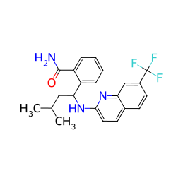 CC(C)CC(Nc1ccc2ccc(C(F)(F)F)cc2n1)c1ccccc1C(N)=O